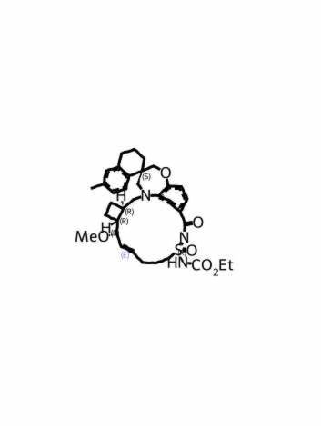 CCOC(=O)N[S@@]1(=O)=NC(=O)c2ccc3c(c2)N(C[C@@H]2CC[C@H]2[C@@H](OC)/C=C/CCC1)C[C@@]1(CCCc2cc(C)ccc21)CO3